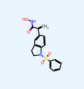 C=C(C(=O)NO)c1ccc2c(c1)CCN2S(=O)(=O)c1ccccc1